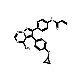 C=CC(=O)Nc1ccc(-c2nn3ncnc(N)c3c2-c2ccc(OC3CC3)cc2)cc1